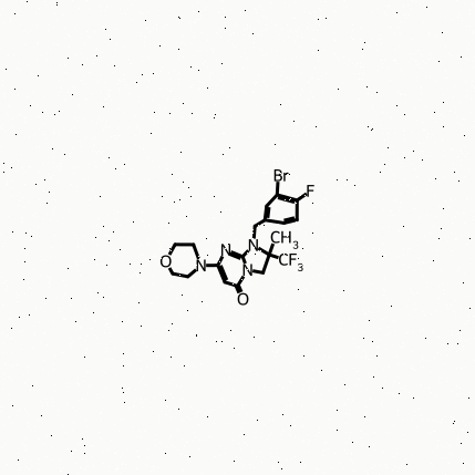 CC1(C(F)(F)F)Cn2c(nc(N3CCOCC3)cc2=O)N1Cc1ccc(F)c(Br)c1